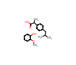 CC(C)Cc1ccc(C(C)C(=O)O)cc1.COc1ccccc1O